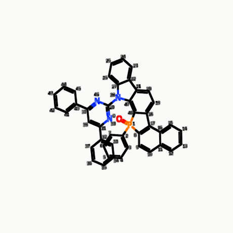 O=P1(c2ccccc2)c2ccc3ccccc3c2-c2ccc3c4ccccc4n(-c4nc(-c5ccccc5)cc(-c5ccccc5)n4)c3c21